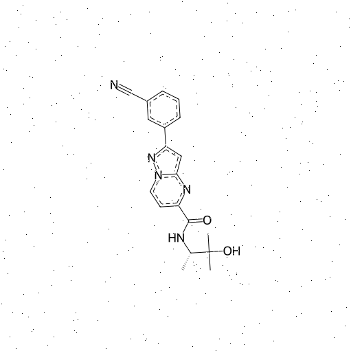 C[C@H](NC(=O)c1ccn2nc(-c3cccc(C#N)c3)cc2n1)C(C)(C)O